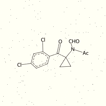 CC(=O)N(C=O)C1(C(=O)c2ccc(Cl)cc2Cl)CC1